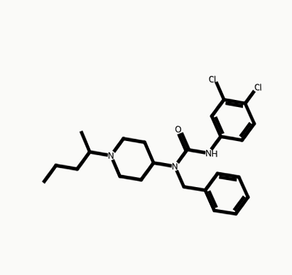 CCCC(C)N1CCC(N(Cc2ccccc2)C(=O)Nc2ccc(Cl)c(Cl)c2)CC1